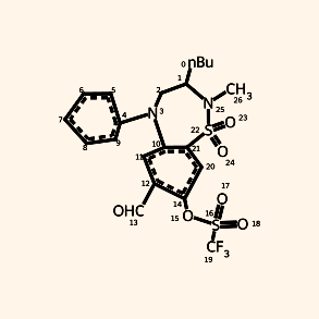 CCCCC1CN(c2ccccc2)c2cc(C=O)c(OS(=O)(=O)C(F)(F)F)cc2S(=O)(=O)N1C